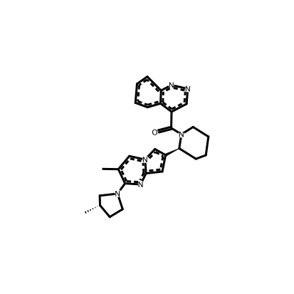 Cc1cn2cc([C@@H]3CCCCN3C(=O)c3cnnc4ccccc34)cc2nc1N1CC[C@H](C)C1